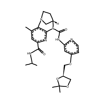 Cc1cc(C(=O)NC(C)C)nc2c1N1CC[C@@H](C1)N2C(=O)Nc1cc(OC[C@H]2COC(C)(C)O2)ccn1